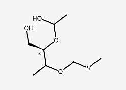 CSCOC(C)[C@@H](CO)OC(C)O